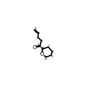 C=CCCC(=O)[C@H]1CCCCO1